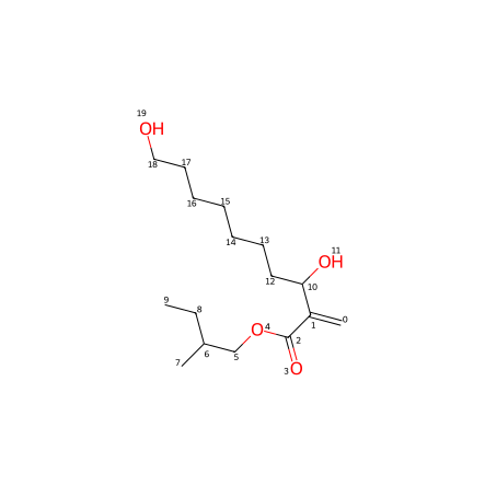 C=C(C(=O)OCC(C)CC)C(O)CCCCCCCO